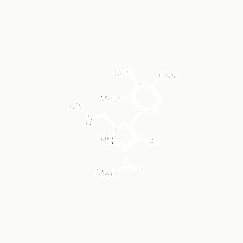 CCCNCc1[nH]c(C(=O)OC)c(C(C)=O)c1-c1ccc(OC)c(OC)c1OC